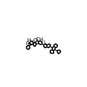 CC1(C)c2ccc(-c3ccc4cc(-c5c6ccccc6c(-c6ccccc6)c6ccccc56)ccc4c3)cc2-c2ccc3c(ccc4oc5ccccc5c43)c21